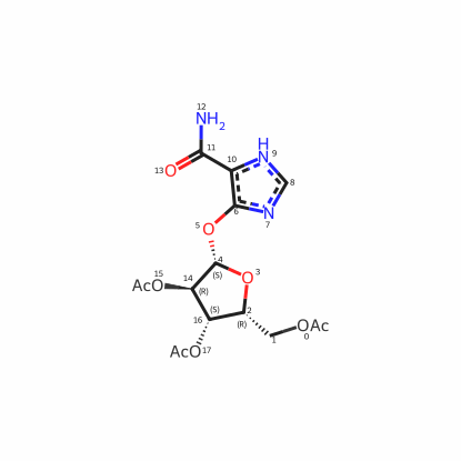 CC(=O)OC[C@H]1O[C@@H](Oc2nc[nH]c2C(N)=O)[C@H](OC(C)=O)[C@H]1OC(C)=O